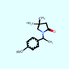 COc1ccc(C(C)N2CC(C)(C(=O)O)CC2=O)cc1